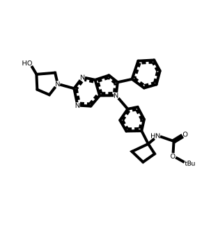 CC(C)(C)OC(=O)NC1(c2ccc(-n3c(-c4ccccc4)cc4nc(N5CCC(O)C5)ncc43)cc2)CCC1